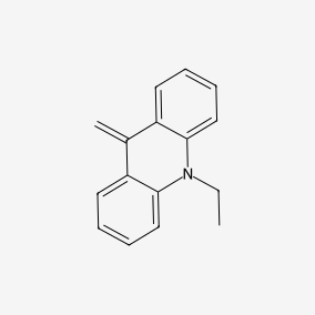 C=C1c2ccccc2N(CC)c2ccccc21